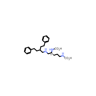 O=C(O)NCCC[C@@H](CNCC(CCc1ccccc1)CCc1ccccc1)NC(=O)O